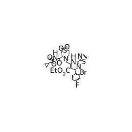 CCOC(=O)C1=C(CN2CCS(=O)(=O)CC2C(=O)NS(=O)(=O)C2CC2)NC(c2nccs2)=NC1c1ccc(F)cc1Br